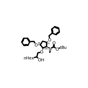 CCCCCCC(O)CO[C@H]1[C@H](N(C)C(=O)OC(C)(C)C)[C@@H](OCc2ccccc2)C[C@H]1OCc1ccccc1